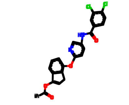 CC(C)C(=O)OC1=CCc2c(Oc3ccc(NC(=O)c4ccc(Cl)c(Cl)c4)cn3)cccc21